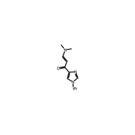 CC(C)n1cnc(C(=O)/C=C/N(C)C)c1